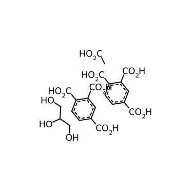 CC(=O)O.O=C(O)c1ccc(C(=O)O)c(C(=O)O)c1.O=C(O)c1ccc(C(=O)O)c(C(=O)O)c1.OCC(O)CO